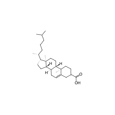 CC(C)CCC[C@@H](C)[C@H]1CC[C@H]2[C@@H]3CC=C4C[C](C(=O)O)CC[C@]4(C)[C@H]3CC[C@]12C